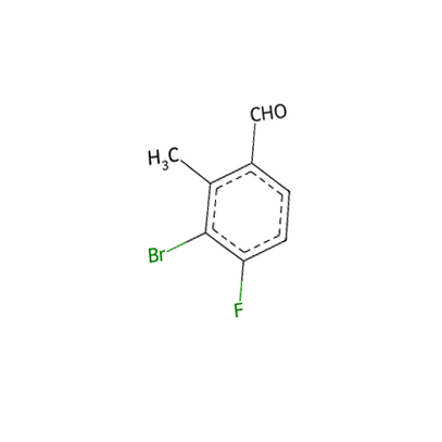 Cc1c(C=O)ccc(F)c1Br